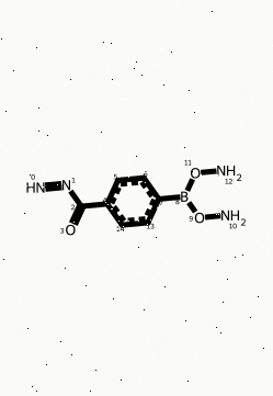 N=NC(=O)c1ccc(B(ON)ON)cc1